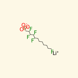 O=S(=O)([O-])CC(F)C(F)C(F)C(F)CCCCCCCF.[Li+]